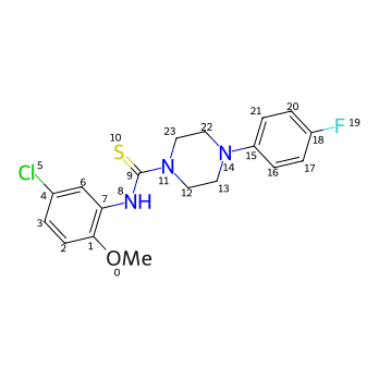 COc1ccc(Cl)cc1NC(=S)N1CCN(c2ccc(F)cc2)CC1